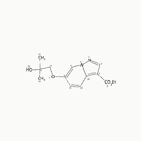 CCOC(=O)c1cnn2cc(OCC(C)(C)O)ccc12